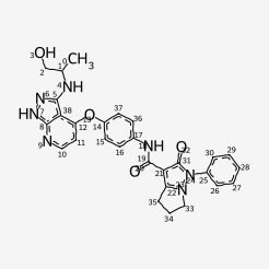 CC(CO)Nc1n[nH]c2nccc(Oc3ccc(NC(=O)c4c5n(n(-c6ccccc6)c4=O)CCC5)cc3)c12